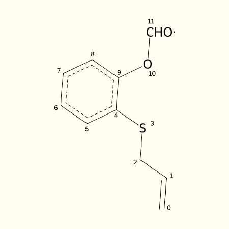 C=CCSc1ccccc1O[C]=O